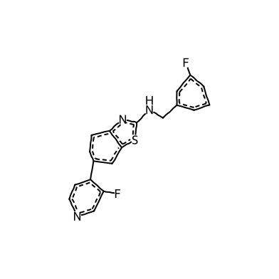 Fc1cccc(CNc2nc3ccc(-c4ccncc4F)cc3s2)c1